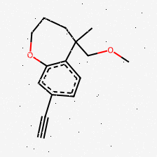 C#Cc1ccc2c(c1)OCCCC2(C)COC